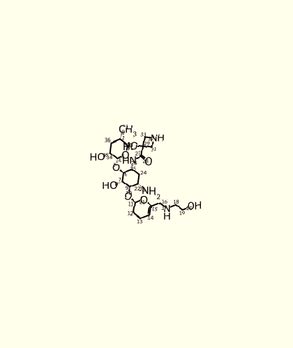 C[C@@H]1CO[C@H](O[C@@H]2[C@@H](O)[C@H](O[C@@H]3CCC=C(CNCCO)O3)[C@@H](N)C[C@H]2NC(=O)C2(O)CNC2)[C@H](O)C1